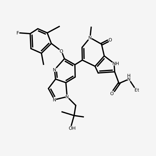 CCNC(=O)c1cc2c(-c3cc4c(cnn4CC(C)(C)O)nc3Oc3c(C)cc(F)cc3C)cn(C)c(=O)c2[nH]1